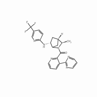 C[C@@H]1[C@@H]2CC([C@H](Nc3ccc(C(F)(F)F)cn3)C2)N1C(=O)c1ncccc1-c1ncccn1